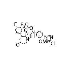 COc1cc(NC2=CN3CCC(=O)CC(c4ccc(F)cc4)C3N2OC(=O)C(F)(F)F)ccc1-n1cnc(Cl)c1